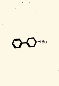 CC(C)(C)[C@H]1CC=C(c2[c]cccc2)CC1